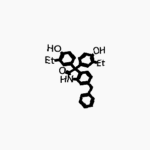 CCc1cc(C2(c3ccc(O)c(CC)c3)C(=O)Nc3cc(Cc4ccccc4)ccc32)ccc1O